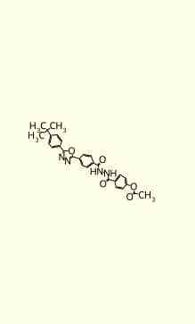 CC(=O)Oc1ccc(C(=O)NNC(=O)c2ccc(-c3nnc(-c4ccc(C(C)(C)C)cc4)o3)cc2)cc1